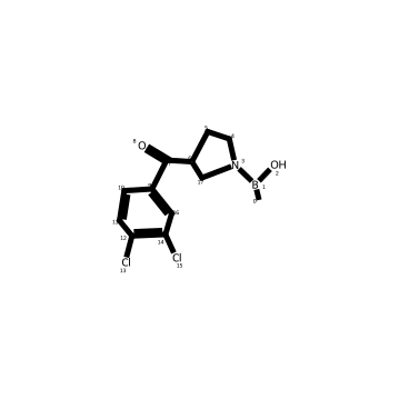 CB(O)N1CCC(C(=O)c2ccc(Cl)c(Cl)c2)C1